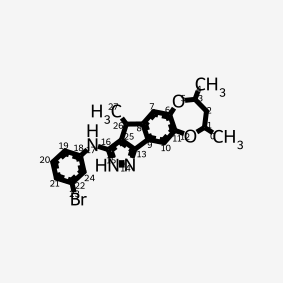 CC1CC(C)Oc2cc3c(cc2O1)-c1n[nH]c(Nc2cccc(Br)c2)c1C3C